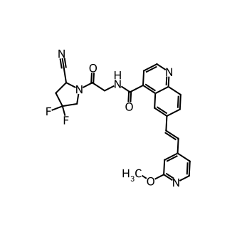 COc1cc(/C=C/c2ccc3nccc(C(=O)NCC(=O)N4CC(F)(F)CC4C#N)c3c2)ccn1